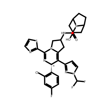 O=C(NC1CC2=C(c3ccn(C(F)F)n3)[C@H](c3ccc(F)cc3Cl)N=C(c3nccs3)N2C1)N1C2CCC1CC(O)C2